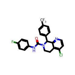 O=C(Nc1ccc(F)cc1)N1CCc2c(Cl)ccnc2C1c1ccc(C(F)(F)F)cc1